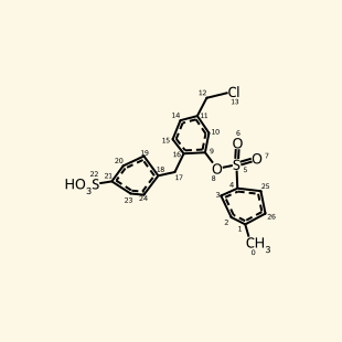 Cc1ccc(S(=O)(=O)Oc2cc(CCl)ccc2Cc2ccc(S(=O)(=O)O)cc2)cc1